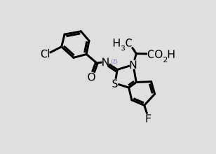 CC(C(=O)O)n1/c(=N/C(=O)c2cccc(Cl)c2)sc2cc(F)ccc21